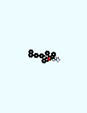 CC1(C)c2ccccc2-c2c(-c3ccccc3N(c3ccc(-c4ccc(-c5cccc6ccccc56)cc4)cc3)c3cccc4ccccc34)cccc21